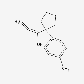 C=C=C(O)C1(c2ccc(C)cc2)CCCC1